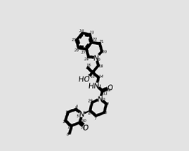 CC1CCCN([C@@H]2CCCN(C(=O)NCC(C)(O)CN3CCc4ccccc4C3)C2)C1=O